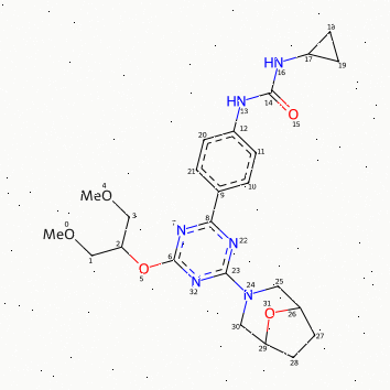 COCC(COC)Oc1nc(-c2ccc(NC(=O)NC3CC3)cc2)nc(N2CC3CCC(C2)O3)n1